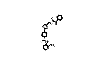 Nc1ccccc1NC(=O)c1ccc(-c2ncc(COC(=O)Nc3ccccc3)s2)cc1